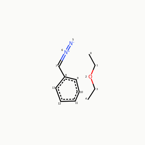 CCOCC.[N-]=[N+]=Cc1ccccc1